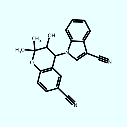 CC1(C)Oc2ccc(C#N)cc2C(n2cc(C#N)c3ccccc32)C1O